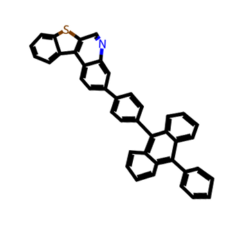 c1ccc(-c2c3ccccc3c(-c3ccc(-c4ccc5c(c4)ncc4sc6ccccc6c45)cc3)c3ccccc23)cc1